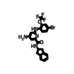 Nc1cc(Nc2ccc(Br)cc2OC(F)(F)F)nc(C(=O)NC2Cc3ccccc3C2)c1